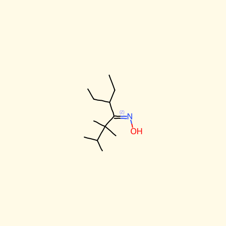 CCC(CC)/C(=N/O)C(C)(C)C(C)C